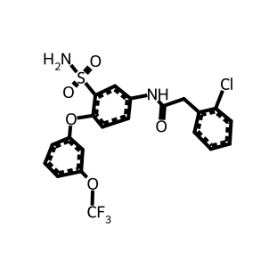 NS(=O)(=O)c1cc(NC(=O)Cc2ccccc2Cl)ccc1Oc1cccc(OC(F)(F)F)c1